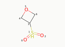 O=[SH](=O)C1COC1